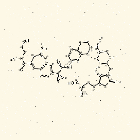 CCCN(CCO)C(=O)C1=Cc2ccc(C3(C(=O)Nc4cnc5c(c4)CN(C(=O)C4COC(CN6C(=O)CC(SC[C@H](N)C(=O)O)C6=O)OC4)CC5)CC3)cc2N=C(N)C1